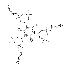 CC1(C)CC(N2C(=O)N(C3CC(C)(C)CC(C)(CN=C=O)C3)C(O)N(C3CC(C)(C)CC(C)(CN=C=O)C3)C2=O)CC(C)(CN=C=O)C1